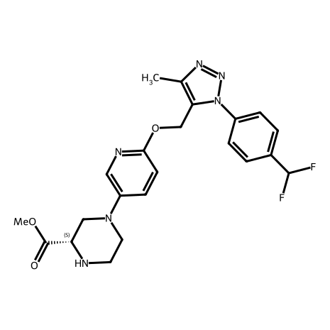 COC(=O)[C@@H]1CN(c2ccc(OCc3c(C)nnn3-c3ccc(C(F)F)cc3)nc2)CCN1